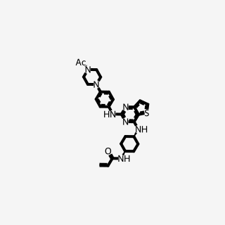 C=CC(=O)N[C@H]1CC[C@@H](Nc2nc(Nc3ccc(N4CCN(C(C)=O)CC4)cc3)nc3ccsc23)CC1